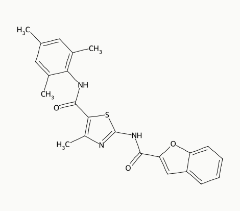 Cc1cc(C)c(NC(=O)c2sc(NC(=O)c3cc4ccccc4o3)nc2C)c(C)c1